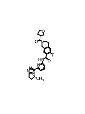 C[C@@H]1CCc2nnc(-c3cccc(NC(=O)c4cc5c(cc4F)CCN(C(=O)[C@@H]4CCOC4)C5)n3)n21